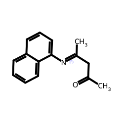 CC(=O)C/C(C)=N/c1cccc2ccccc12